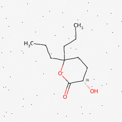 CCCC1(CCC)CC[C@H](O)C(=O)O1